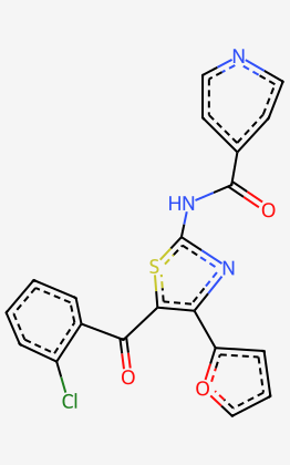 O=C(Nc1nc(-c2ccco2)c(C(=O)c2ccccc2Cl)s1)c1ccncc1